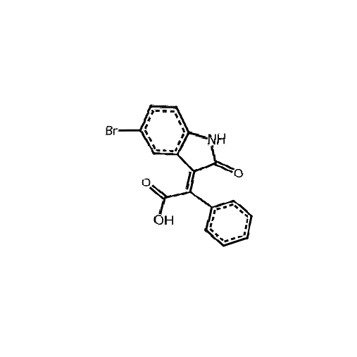 O=C(O)C(=C1C(=O)Nc2ccc(Br)cc21)c1ccccc1